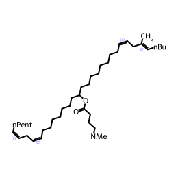 CCCC/C=C(\C)C/C=C\CCCCCCCCC(CCCCCCC/C=C\C/C=C\CCCCC)OC(=O)CCCNC